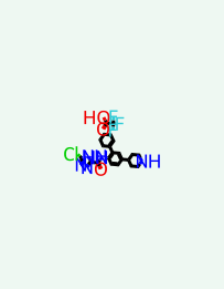 O=C(Nc1ccc(C2CCNCC2)cc1C1=CCCCC1)c1nnc(Cl)[nH]1.O=C(O)C(F)(F)F